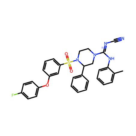 Cc1ccccc1N/C(=N\C#N)N1CCN(S(=O)(=O)c2cccc(Oc3ccc(F)cc3)c2)C(c2ccccc2)C1